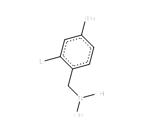 [Li][c]1cc(C(C)(C)C)ccc1CN(C)C